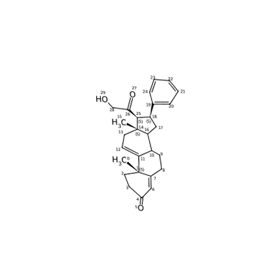 C[C@]12CCC(=O)C=C1CCC1C2=CC[C@@]2(C)C1C[C@H](c1ccccc1)[C@@H]2C(=O)CO